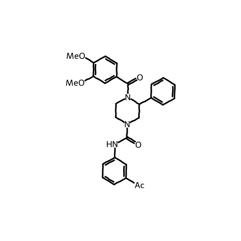 COc1ccc(C(=O)N2CCN(C(=O)Nc3cccc(C(C)=O)c3)CC2c2ccccc2)cc1OC